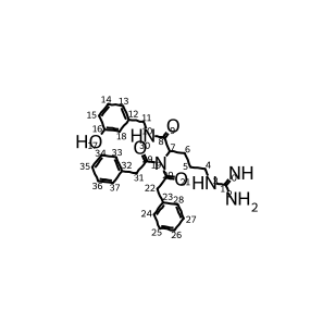 N=C(N)NCCCC(C(=O)NCc1cccc(O)c1)N(C(=O)Cc1ccccc1)C(=O)Cc1ccccc1